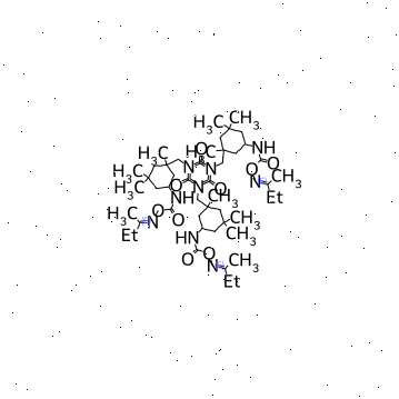 CC/C(C)=N/OC(=O)NC1CC(C)(C)CC(C)(Cn2c(=O)n(CC3(C)CC(NC(=O)O/N=C(\C)CC)CC(C)(C)C3)c(=O)n(CC3(C)CC(NC(=O)O/N=C(\C)CC)CC(C)(C)C3)c2=O)C1